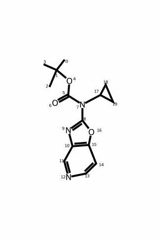 CC(C)(C)OC(=O)N(c1nc2cnccc2o1)C1CC1